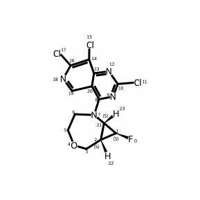 F[C@H]1[C@@H]2COCCN(c3nc(Cl)nc4c(Cl)c(Cl)ncc34)[C@H]12